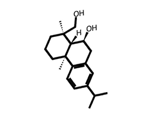 CC(C)c1ccc2c(c1)C[C@H](O)[C@H]1[C@](C)(CO)CCC[C@]21C